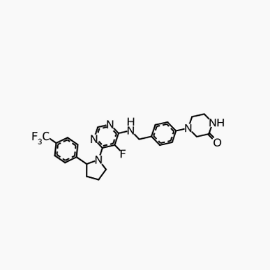 O=C1CN(c2ccc(CNc3ncnc(N4CCCC4c4ccc(C(F)(F)F)cc4)c3F)cc2)CCN1